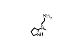 CN(CCN)C1CCCN1